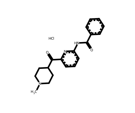 CN1CCC(C(=O)c2cccc(NC(=O)c3ccccc3)n2)CC1.Cl